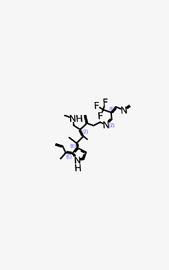 C=C/C(C)=c1/[nH]cc/c1=C(C)\C(C)=C(/CNC)C(=C)CC/N=C\C(=C/N=C)C(F)(F)F